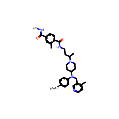 COc1ccc(N(Cc2cnccc2C)C2CCN(C(C)CCNC(=O)c3ccc(C(=O)NC(C)C)cc3C)CC2)cc1